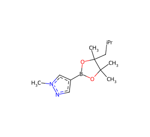 CC(C)CC1(C)OB(c2cnn(C)c2)OC1(C)C